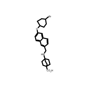 CC(C)C1CCC(Oc2ccc3cc(CNC45CCC(C(=O)O)(CC4)CC5)ccc3c2)CC1